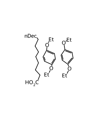 CCCCCCCCCCCCCCCCCC(=O)O.CCOc1ccc(OCC)cc1.CCOc1ccc(OCC)cc1